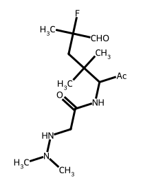 CC(=O)C(NC(=O)CNN(C)C)C(C)(C)CC(C)(F)C=O